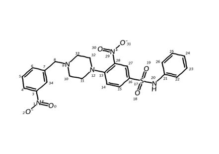 O=[N+]([O-])c1cccc(CN2CCN(c3ccc(S(=O)(=O)Nc4ccccc4)cc3[N+](=O)[O-])CC2)c1